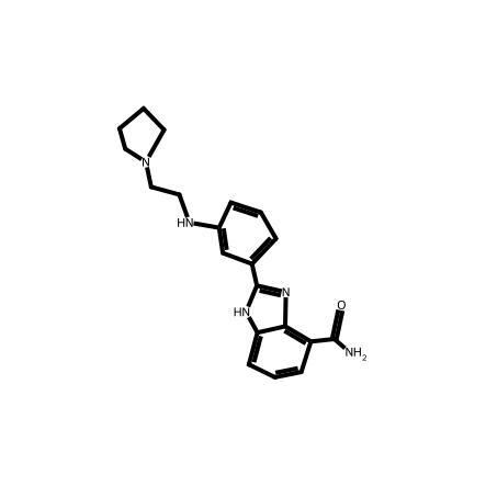 NC(=O)c1cccc2[nH]c(-c3cccc(NCCN4CCCC4)c3)nc12